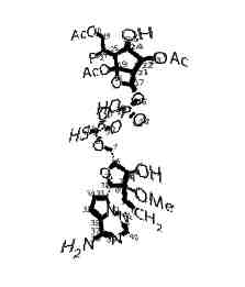 C=C[C@@]1(OC)[C@H](O)[C@@H](COP(=O)(S)OP(=O)(O)OC2OC3(OC(C)=O)C2C(OC(C)=O)C(O)C3[C@@H](F)COC(C)=O)O[C@H]1c1ccc2c(N)ncnn12